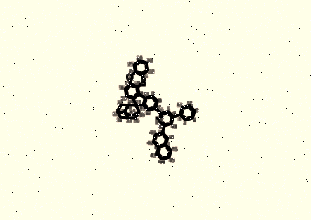 c1ccc(-c2cc(-c3ccc4c(c3)C3(c5ccc6c(c5-4)Sc4ccccc4O6)C4CC5CC(C4)CC3C5)nc(-c3ccc4ccccc4c3)c2)cc1